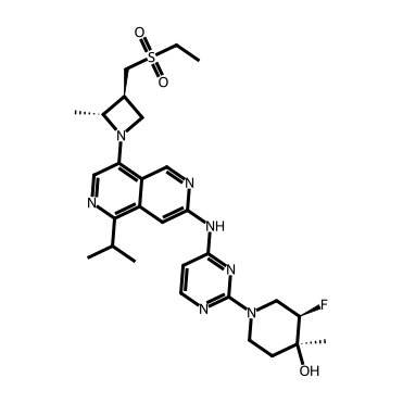 CCS(=O)(=O)C[C@H]1CN(c2cnc(C(C)C)c3cc(Nc4ccnc(N5CC[C@](C)(O)[C@H](F)C5)n4)ncc23)[C@@H]1C